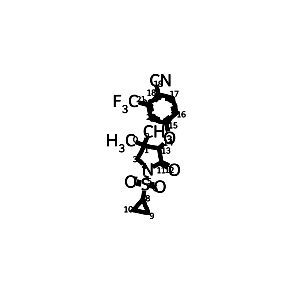 CC1(C)CN(S(=O)(=O)C2CC2)C(=O)C1Oc1ccc(C#N)c(C(F)(F)F)c1